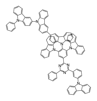 C1=Cc2c(c3ccccc3n2-c2cc(-c3nc(-c4ccccc4)nc(-c4cccc(-n5c6ccccc6c6ccccc65)c4)n3)cc(-n3c4ccccc4c4ccccc43)c2-n2c3ccccc3c3cc(-c4ccc5c(c4)c4ccccc4n5-c4ccc5c(c4)c4ccccc4n5-c4ccccc4)ccc32)CC1